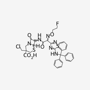 O=C(N[C@@H]1C(=O)N2CC(CCl)(C(=O)O)CS[C@H]12)C(=NOCCF)c1nsc(NC(c2ccccc2)(c2ccccc2)c2ccccc2)n1